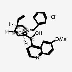 C=C[C@H]1C[N+]2(Cc3ccccc3)CC[C@H]1C[C@@H]2[C@@H](O)c1ccnc2ccc(OC)cc12.[Cl-]